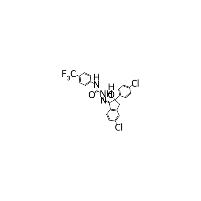 O=C(NN=C1c2ccc(Cl)cc2CC1(O)c1ccc(Cl)cc1)Nc1ccc(C(F)(F)F)cc1